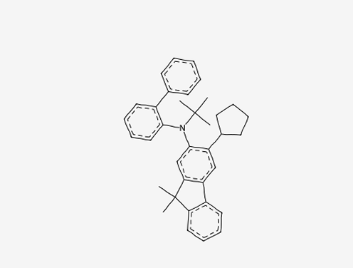 CC1(C)c2ccccc2-c2cc(C3CCCC3)c(N(c3ccccc3-c3ccccc3)C(C)(C)C)cc21